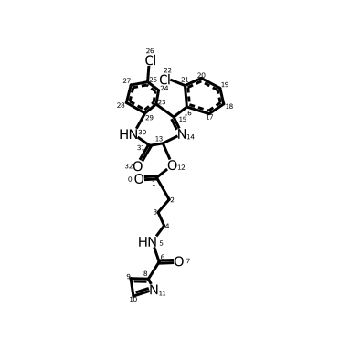 O=C(CCCNC(=O)C1=CC=N1)OC1N=C(c2ccccc2Cl)c2cc(Cl)ccc2NC1=O